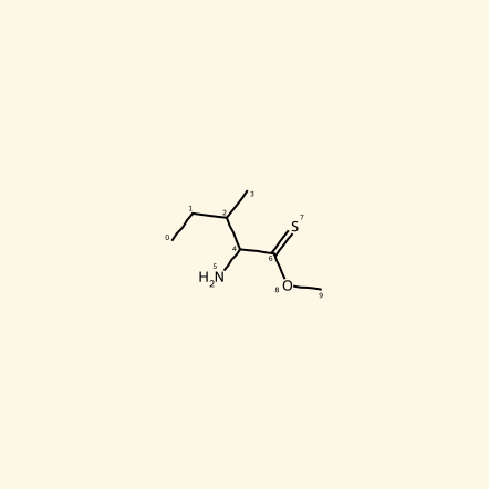 CCC(C)C(N)C(=S)OC